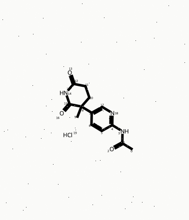 CC(=O)Nc1ccc(C2(C)CCC(=O)NC2=O)cn1.Cl